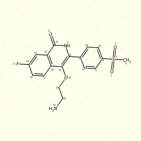 CS(=O)(=O)c1ccc(-c2[nH]c(=O)c3cc(F)ccc3c2OCCN)cc1